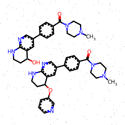 CN1CCN(C(=O)c2ccc(-c3cnc4c(c3)C(O)CCN4)cc2)CC1.CN1CCN(C(=O)c2ccc(-c3cnc4c(c3)C(Oc3cccnc3)CCN4)cc2)CC1